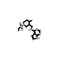 CCS(=O)(=O)N1CCC(C)C(CNc2ncnc3[nH]ccc23)C1